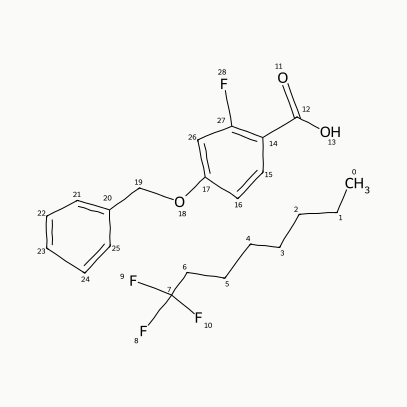 CCCCCCCC(F)(F)F.O=C(O)c1ccc(OCc2ccccc2)cc1F